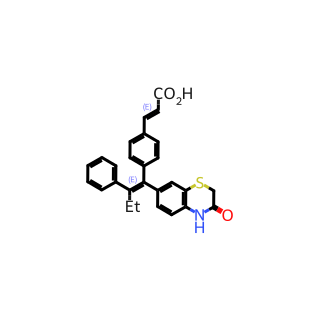 CC/C(=C(/c1ccc(/C=C/C(=O)O)cc1)c1ccc2c(c1)SCC(=O)N2)c1ccccc1